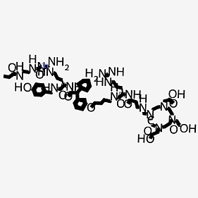 CCC(=O)NCCNC(=O)/N=C(/N)NCCC[C@@H](NC(=O)C(c1ccccc1)c1cccc(OCCCCNC(=O)[C@@H](CCCNC(=N)N)NC(=O)CCNCN2CCN(CC(=O)O)CCN(CC(=O)O)CCN(CC(=O)O)CC2)c1)C(=O)NCc1ccc(O)cc1